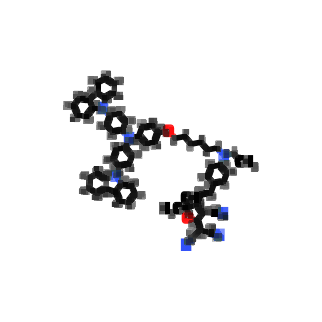 CCN(CCCCCCOc1ccc(N(c2ccc(-n3c4ccccc4c4ccccc43)cc2)c2ccc(-n3c4ccccc4c4ccccc43)cc2)cc1)c1ccc(C=CC2=C(C#N)C(=C(C#N)C#N)OC2(C)C)cc1